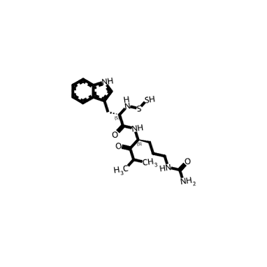 CC(C)C(=O)[C@H](CCCNC(N)=O)NC(=O)[C@H](Cc1c[nH]c2ccccc12)NSS